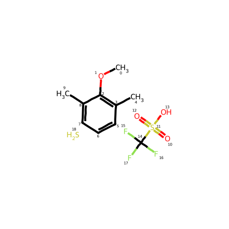 COc1c(C)cccc1C.O=S(=O)(O)C(F)(F)F.S